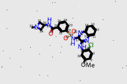 COc1ccc(Cl)c(Nc2nc3ccccc3nc2NS(=O)(=O)c2cccc(C(=O)NC3CN(C)C3)c2)c1